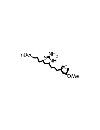 CCCCCCCCCCCCCCCC(CCCc1cccc(OC)c1)NC(N)=S